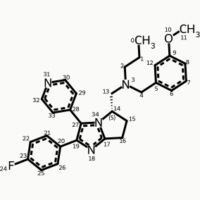 CCCN(Cc1cccc(OC)c1)C[C@@H]1CCc2nc(-c3ccc(F)cc3)c(-c3ccncc3)n21